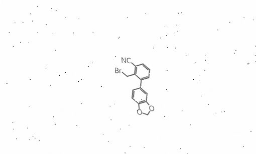 N#Cc1cccc(-c2ccc3c(c2)OCO3)c1CBr